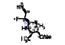 C=N/C(N[C@H](C)COC)=C(/F)C=N